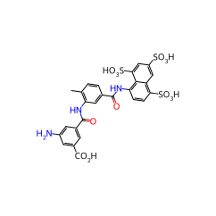 Cc1ccc(C(=O)Nc2ccc(S(=O)(=O)O)c3cc(S(=O)(=O)O)cc(S(=O)(=O)O)c23)cc1NC(=O)c1cc(N)cc(C(=O)O)c1